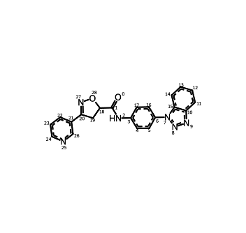 O=C(Nc1ccc(-n2nnc3ccccc32)cc1)C1CC(c2cccnc2)=NO1